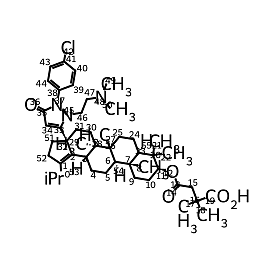 CC(C)C1=C2[C@H]3CC[C@@H]4[C@@]5(C)CC[C@H](OC(=O)CC(C)(C)C(=O)O)C(C)(C)[C@@H]5CC[C@@]4(C)[C@]3(C)CC[C@@]2(c2cc(=O)n(-c3ccc(Cl)cc3)n2CCN(C)C)CC1